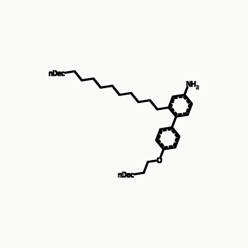 CCCCCCCCCCCCCCCCCCCCc1cc(N)ccc1-c1ccc(OCCCCCCCCCCCC)cc1